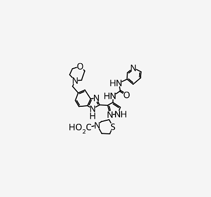 O=C(Nc1cccnc1)Nc1c[nH]nc1-c1nc2cc(CN3CCOCC3)ccc2[nH]1.O=C(O)N1CCSCC1